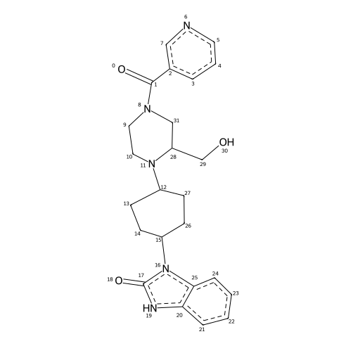 O=C(c1cccnc1)N1CCN(C2CCC(n3c(=O)[nH]c4ccccc43)CC2)C(CO)C1